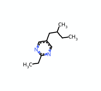 CCc1ncc(CC(C)CC)cn1